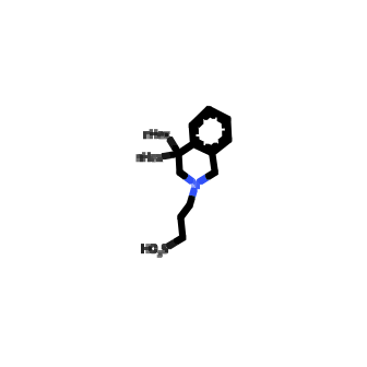 CCCCCCC1(CCCCCC)CN(CCCS(=O)(=O)O)Cc2ccccc21